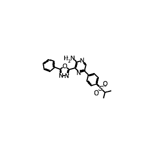 CC(C)S(=O)(=O)c1ccc(-c2cnc(N)c(-c3nnc(-c4ccccc4)o3)n2)cc1